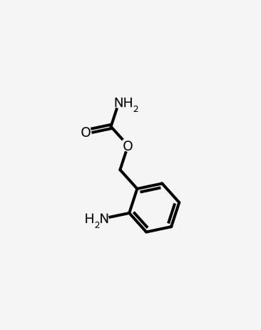 NC(=O)OCc1ccccc1N